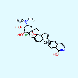 CN(C)[C@H]1C[C@@]23CC[C@@]4(O2)C(=CC[C@]2(C)C(c5ccc6c(O)nccc6c5)=CCC24)CC3(F)[C@@H](O)[C@@H]1O